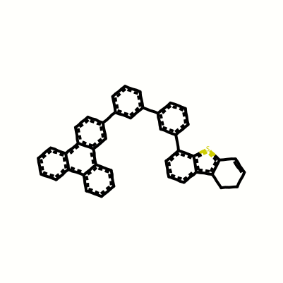 C1=Cc2sc3c(-c4cccc(-c5cccc(-c6ccc7c8ccccc8c8ccccc8c7c6)c5)c4)cccc3c2CC1